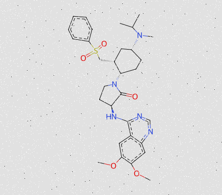 COc1cc2ncnc(N[C@H]3CCN([C@H]4CC[C@@H](N(C)C(C)C)C[C@H]4CS(=O)(=O)c4ccccc4)C3=O)c2cc1OC